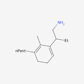 CCCCCC1=C(C)C(C(CC)CN)=CCC1